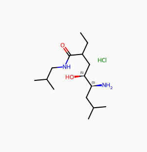 CCC(C[C@H](O)[C@@H](N)CC(C)C)C(=O)NCC(C)C.Cl